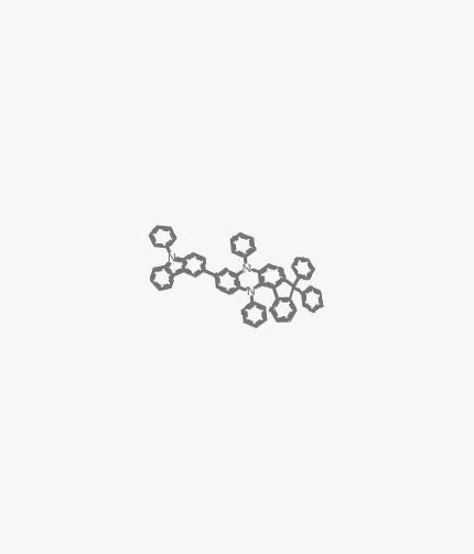 c1ccc(N2c3cc(-c4ccc5c(c4)c4ccccc4n5-c4ccccc4)ccc3N(c3ccccc3)c3c2ccc2c3-c3ccccc3C2(c2ccccc2)c2ccccc2)cc1